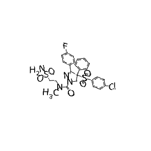 CN(CCS(N)(=O)=O)C(=O)N1CC(c2ccccc2)(S(=O)(=O)c2ccc(Cl)cc2)C(c2ccc(F)cc2)=N1